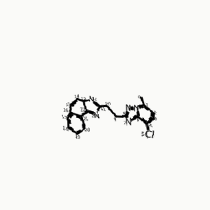 Cc1ccc(Cl)c2nc(CCC3=NC4C=Cc5ccccc5C4=N3)nn12